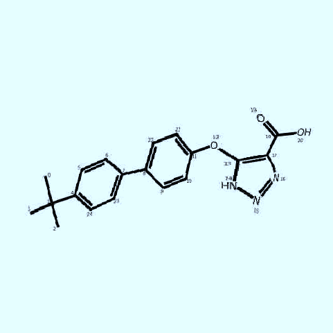 CC(C)(C)c1ccc(-c2ccc(Oc3[nH]nnc3C(=O)O)cc2)cc1